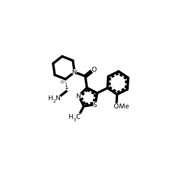 COc1ccccc1-c1sc(C)nc1C(=O)N1CCCC[C@H]1CN